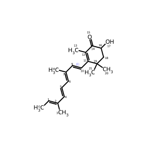 CC=C(C)C=CC=C(C)/C=C/C1=C(C)C(=O)C(O)CC1(C)C